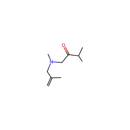 C=C(C)CN(C)CC(=O)C(C)C